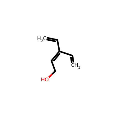 C=CC(C=C)=CCO